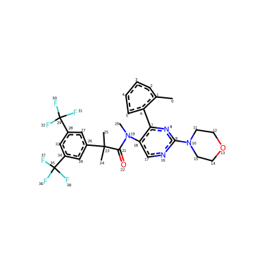 Cc1ccccc1-c1nc(N2CCOCC2)ncc1N(C)C(=O)C(C)(C)c1cc(C(F)(F)F)cc(C(F)(F)F)c1